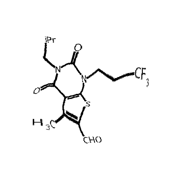 Cc1c(C=O)sc2c1c(=O)n(CC(C)C)c(=O)n2CCC(F)(F)F